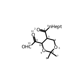 CCCCCCCC(=O)C1COC(C)(C)OC1C(=O)C=O